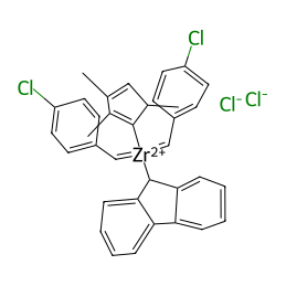 CC1=CC(C)[C]([Zr+2](=[CH]c2ccc(Cl)cc2)(=[CH]c2ccc(Cl)cc2)[CH]2c3ccccc3-c3ccccc32)=C1C.[Cl-].[Cl-]